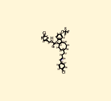 FC(F)(F)Oc1ccc2c(c1)c1c(n2C(=S)NCc2cnc(Cl)s2)CCC(CC/C=C/c2ccc(Cl)cc2)CCC1